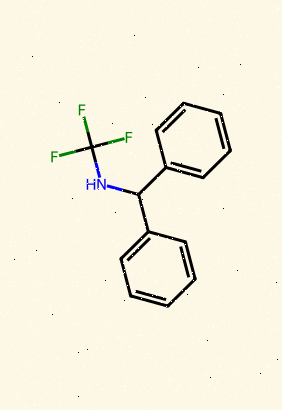 FC(F)(F)NC(c1ccccc1)c1ccccc1